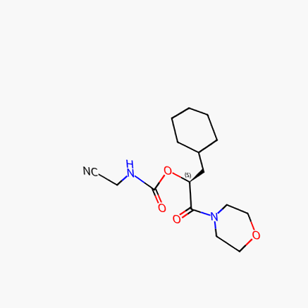 N#CCNC(=O)O[C@@H](CC1CCCCC1)C(=O)N1CCOCC1